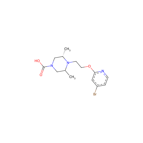 CC1CN(C(=O)O)C[C@H](C)N1CCOc1cc(Br)ccn1